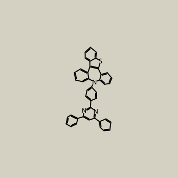 c1ccc(-c2cc(-c3ccccc3)nc(-c3ccc(N4c5ccccc5-c5sc6ccccc6c5-c5ccccc54)cc3)n2)cc1